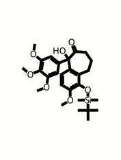 COc1cc(C2(O)C(=O)CCCc3c2ccc(OC)c3O[Si](C)(C)C(C)(C)C)cc(OC)c1OC